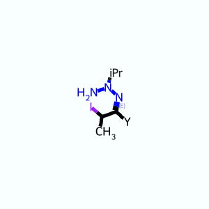 CC(I)/[C]([Y])=N\N(N)C(C)C